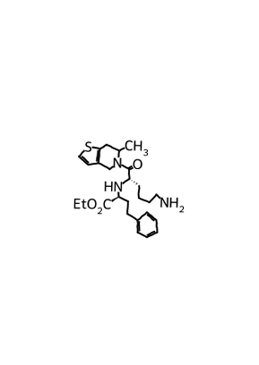 CCOC(=O)[C@H](CCc1ccccc1)N[C@@H](CCCCN)C(=O)N1Cc2ccsc2CC1C